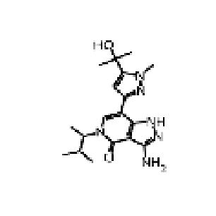 CC(C)C(C)n1cc(-c2cc(C(C)(C)O)n(C)n2)c2[nH]nc(N)c2c1=O